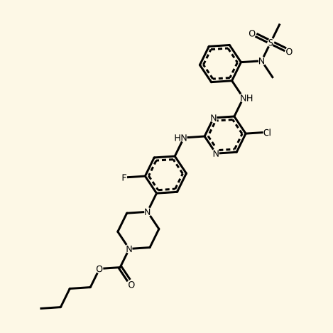 CCCCOC(=O)N1CCN(c2ccc(Nc3ncc(Cl)c(Nc4ccccc4N(C)S(C)(=O)=O)n3)cc2F)CC1